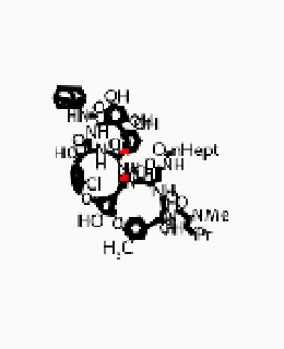 CCCCCCCC(=O)NC(=O)C[C@@H]1NC(=O)[C@H](NC(=O)[C@@H](CC(C)C)NC)[C@H](O)c2ccc(c(C)c2)Oc2cc3cc(c2O)Oc2ccc(cc2Cl)[C@@H](O)[C@@H]2NC(=O)[C@H](NC(=O)[C@@H]3NC1=O)c1ccc(O)c(c1)-c1c(O)cc(O)cc1[C@@H](C(=O)NC1C3CC4CC(C3)CC1C4)NC2=O